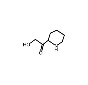 O=C(CO)C1CCCCN1